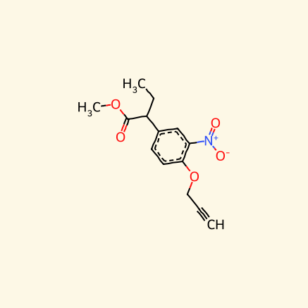 C#CCOc1ccc(C(CC)C(=O)OC)cc1[N+](=O)[O-]